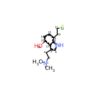 CN(C)CCc1c[nH]c2c(CCF)ccc(O)c12